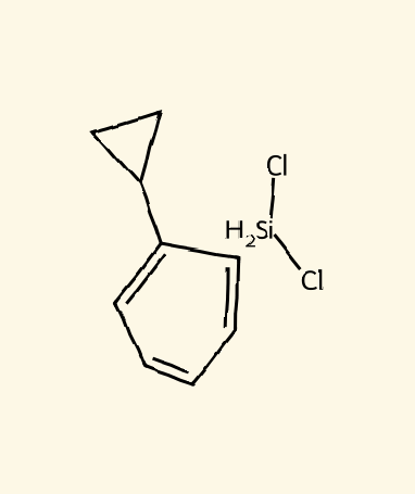 Cl[SiH2]Cl.c1ccc(C2CC2)cc1